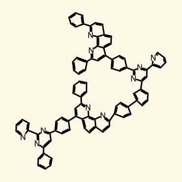 c1ccc(-c2cc(-c3ccc(-c4cc(-c5ccccc5)nc5c4ccc4ccc(-c6ccc(-c7cccc(-c8cc(-c9ccccn9)nc(-c9ccc(-c%10cc(-c%11ccccc%11)nc%11c%10ccc%10ccc(-c%12ccccc%12)nc%10%11)cc9)n8)c7)cc6)nc45)cc3)nc(-c3ccccn3)n2)cc1